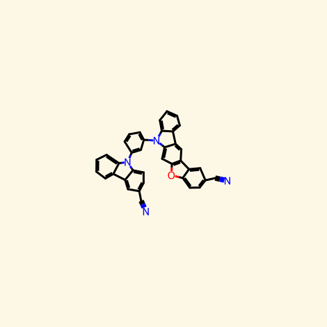 N#Cc1ccc2oc3cc4c(cc3c2c1)c1ccccc1n4-c1cccc(-n2c3ccccc3c3cc(C#N)ccc32)c1